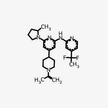 C=C(C)N1CCC(c2cc(Nc3cc(C(C)(F)F)ccn3)nc(N3CCCC3C)c2)CC1